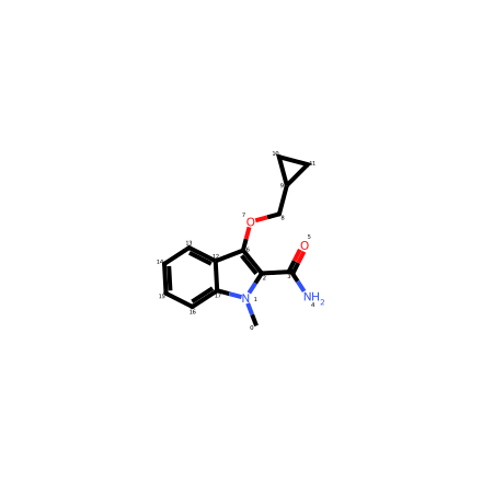 Cn1c(C(N)=O)c(OCC2CC2)c2ccccc21